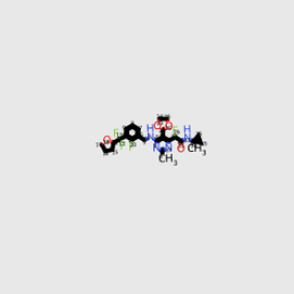 Cc1nc(NCc2cccc(C(F)(F)C3CCCO3)c2F)c(C2OCCO2)c(C(F)C(=O)NC2(C)CC2)n1